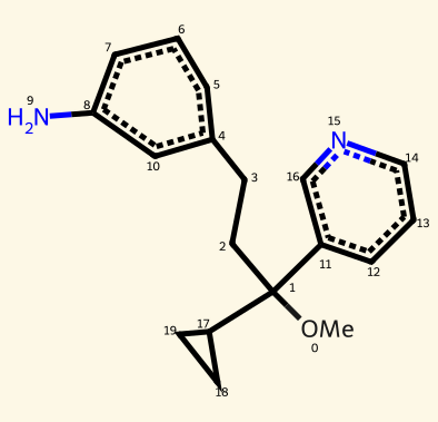 COC(CCc1cccc(N)c1)(c1cccnc1)C1CC1